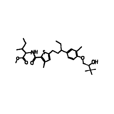 CCC(CCc1cc(C)c(C(=O)NC(C(=O)OC)C(C)CC)s1)c1ccc(OCC(O)C(C)(C)C)c(C)c1